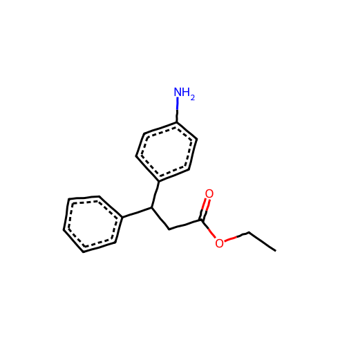 CCOC(=O)CC(c1ccccc1)c1ccc(N)cc1